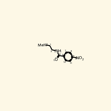 CNCCNC(=O)c1ccc([N+](=O)[O-])cc1